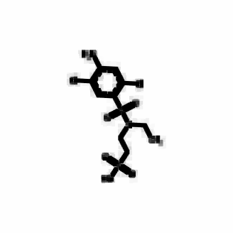 CCN(CCS(=O)(=O)O)S(=O)(=O)c1cc(Cl)c(N)cc1Cl